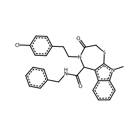 Cn1c2c(c3ccccc31)C(C(=O)NCc1ccccc1)N(CCc1ccc(Cl)cc1)C(=O)CS2